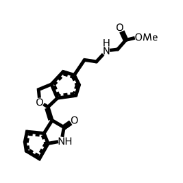 COC(=O)CNCCc1ccc2c(c1)COC2=C1C(=O)Nc2ccccc21